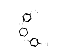 N#Cc1ccc(O[C@H]2CC[C@@H](Oc3ccc(C#N)cc3)CC2)cc1